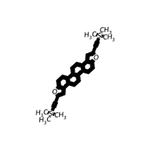 C[Si](C)(C)C#Cc1cc2c(ccc3c2ccc2c4ccc5oc(C#C[Si](C)(C)C)cc5c4ccc32)o1